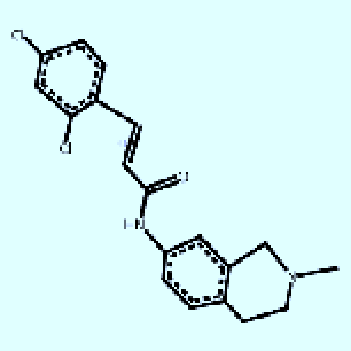 CN1CCc2ccc(NC(=O)/C=C/c3ccc(Cl)cc3Cl)cc2C1